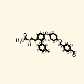 CC(=O)NCCc1ccc(OC2CCC(OCc3ccc(C=O)cc3)CC2)cc1-c1cccc(F)c1